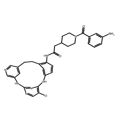 Nc1cccc(C(=O)N2CCC(CC(=O)Nc3ccc4cc3CCc3cncc(c3)Nc3ncc(Cl)c(n3)N4)CC2)c1